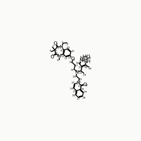 CCN1C(=O)C(C)(C)C(=O)N(C)c2cc(OCCCN(CCn3ccc4ccccc4c3=O)C(C)c3cn[nH]c3C)ccc21.Cl.Cl